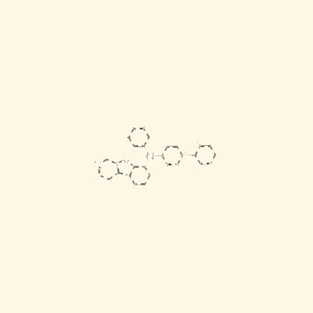 c1ccc(-c2ccc(N(c3ccccc3)c3cccc4c3oc3cnccc34)cc2)cc1